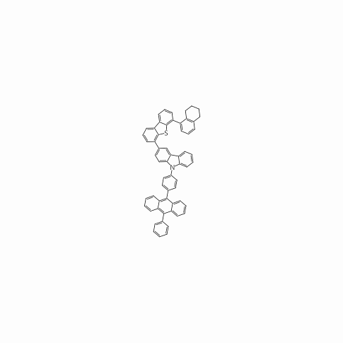 c1ccc(-c2c3ccccc3c(-c3ccc(-n4c5ccccc5c5cc(-c6cccc7c6sc6c(-c8cccc9c8CCCC9)cccc67)ccc54)cc3)c3ccccc23)cc1